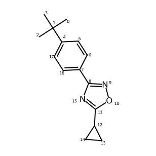 CC(C)(C)c1ccc(-c2noc(C3CC3)n2)cc1